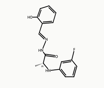 C[C@@H](Nc1cccc(F)c1)C(=O)NN=Cc1ccccc1O